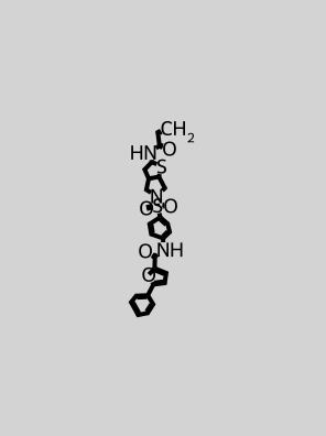 C=CC(=O)NC1CC2CN(S(=O)(=O)c3ccc(NC(=O)c4ccc(-c5ccccc5)o4)cc3)CC2S1